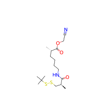 C[C@@H](CSSC(C)(C)C)C(=O)NCCCC[C@H](C)C(=O)OCC#N